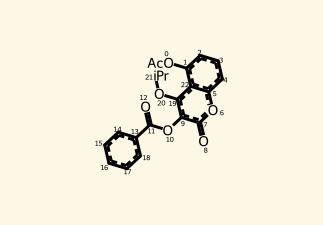 CC(=O)Oc1cccc2oc(=O)c(OC(=O)c3ccccc3)c(OC(C)C)c12